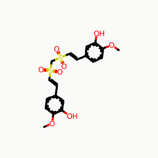 COc1ccc(C=CS(=O)(=O)CS(=O)(=O)C=Cc2ccc(OC)c(O)c2)cc1O